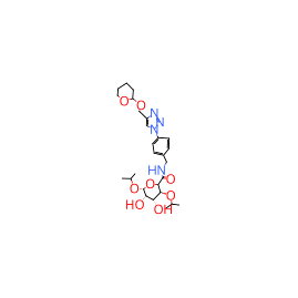 CC(C)O[C@@H]1OC(C(=O)NCc2ccc(-n3cc(COC4CCCCO4)nn3)cc2)[C@@H](OC(C)C)[C@H](O)[C@@H]1O